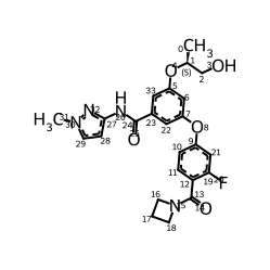 C[C@@H](CO)Oc1cc(Oc2ccc(C(=O)N3CCC3)c(F)c2)cc(C(=O)Nc2ccn(C)n2)c1